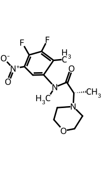 Cc1c(N(C)C(=O)[C@H](C)N2CCOCC2)cc([N+](=O)[O-])c(F)c1F